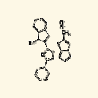 CC1=CC2C=CC=C2S1.[Cl-].[Cl-].[Zr+2][CH]1C(c2ccc(-c3ccccc3)o2)=Cc2ccccc21